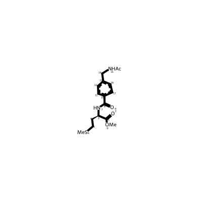 COC(=O)[C@@H](CCSC)NC(=O)c1ccc(CNC(C)=O)cc1